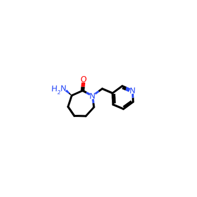 N[C@@H]1CCCCN(Cc2cccnc2)C1=O